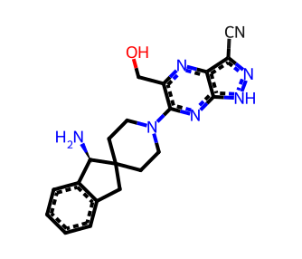 N#Cc1n[nH]c2nc(N3CCC4(CC3)Cc3ccccc3[C@H]4N)c(CO)nc12